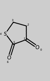 O=C1CCSC1=O